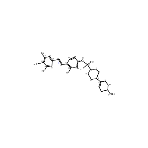 CCCCC1CC=C(C2CCC(C(F)(F)Oc3ccc(/C=C/c4cc(F)c(F)c(F)c4)c(F)c3)CC2)CC1